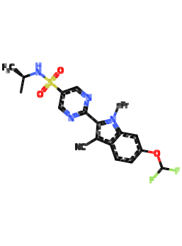 CCCn1c(-c2ncc(S(=O)(=O)N[C@@H](C)C(F)(F)F)cn2)c(C#N)c2ccc(OC(F)F)cc21